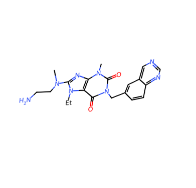 CCn1c(N(C)CCN)nc2c1c(=O)n(Cc1ccc3ncncc3c1)c(=O)n2C